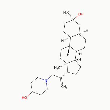 C=C(CN1CCC(O)CC1)[C@H]1CC[C@H]2[C@@H]3CC[C@@H]4C[C@](C)(O)CC[C@@H]4[C@H]3CC[C@]12C